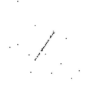 CCCCCCCCCCCCCCCCCCCCCCCCCCC[S]